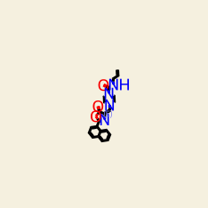 C=CCNC(=O)N1CCN(/C=C2/N=C(c3cccc4ccccc34)OC2=O)CC1